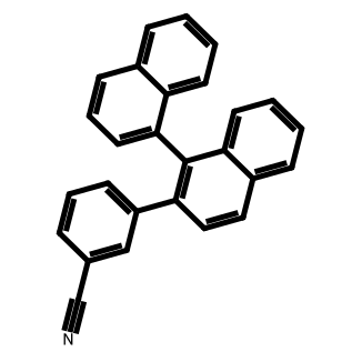 N#Cc1cccc(-c2ccc3ccccc3c2-c2cccc3ccccc23)c1